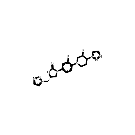 O=C1O[C@@H](Cn2ccnn2)CN1c1ccc(N2CCC(n3ccnn3)C(F)C2)c(F)c1